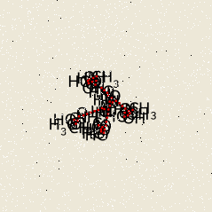 CC(=O)NC1C(OCCCCCCNC(=O)CCC(NC(=O)CCC(NC(=O)CCCCCCCCCCC(=O)NC[C@H]2C[C@H](OC(C)C)[C@@H](CO)O2)C(=O)NCCCCCCOC2OC3(CO)C(O)C3(O)C2NC(C)=O)C(=O)NCCCCCCOC2OC(CO)C(O)C(O)C2NC(C)=O)OC(CO)C(O)C1O